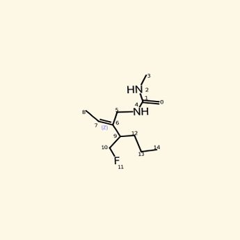 C=C(NC)NC/C(=C\C)C(CF)CCC